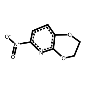 O=[N+]([O-])c1ccc2c(n1)OCCO2